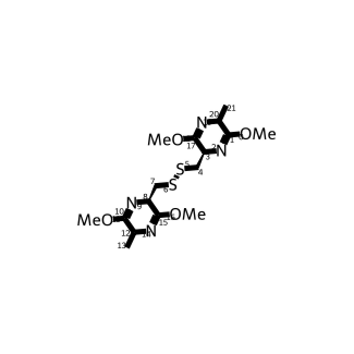 COC1=N[C@@H](CSSC[C@@H]2N=C(OC)C(C)N=C2OC)C(OC)=NC1C